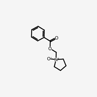 O=C(OC[N+]1([O-])CCCC1)c1ccccc1